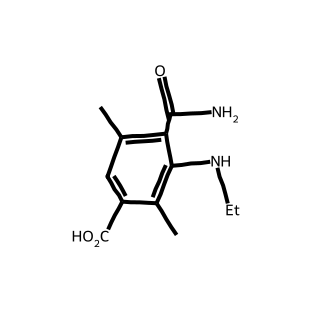 CCNc1c(C)c(C(=O)O)cc(C)c1C(N)=O